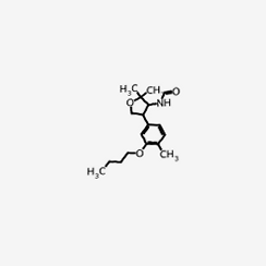 CCCCOc1cc(C2COC(C)(C)C2NC=O)ccc1C